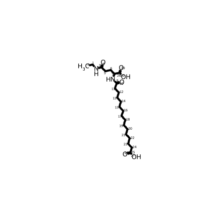 CCNC(=O)CCC(NC(=O)CCCCCCCCCCCCCCC(=O)O)C(=O)O